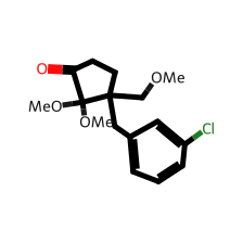 COCC1(Cc2cccc(Cl)c2)CCC(=O)C1(OC)OC